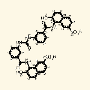 O=C(Nc1cccc(C(=O)Nc2c(O)ccc3ccc(S(=O)(=O)O)cc23)c1)Nc1cccc(C(=O)Nc2c(O)ccc3ccc(S(=O)(=O)O)cc23)c1